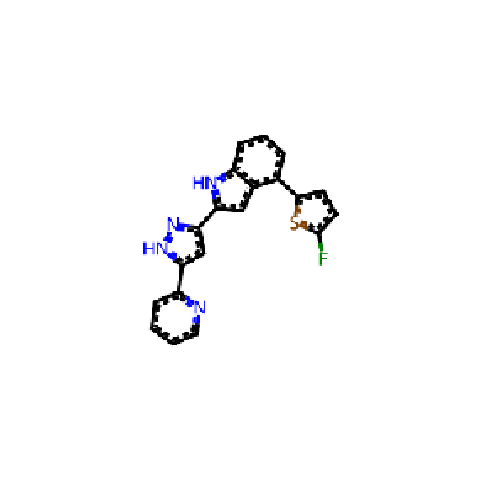 Fc1ccc(-c2cccc3[nH]c(-c4cc(-c5ccccn5)[nH]n4)cc23)s1